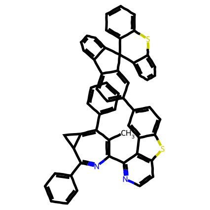 CC1=C(c2nccc3sc4ccc(-c5ccc6c(c5)C5(c7ccccc7Sc7ccccc75)c5ccccc5-6)cc4c23)N=C(c2ccccc2)C2CC2=C1c1ccccc1